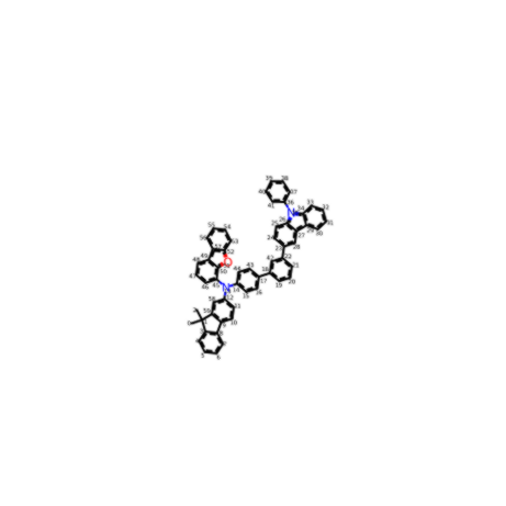 CC1(C)c2ccccc2-c2ccc(N(c3ccc(-c4cccc(-c5ccc6c(c5)c5ccccc5n6-c5ccccc5)c4)cc3)c3cccc4c3oc3ccccc34)cc21